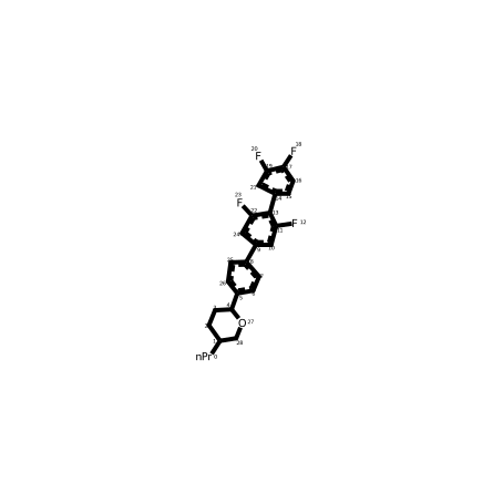 CCCC1CCC(c2ccc(-c3cc(F)c(-c4ccc(F)c(F)c4)c(F)c3)cc2)OC1